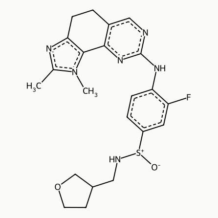 Cc1nc2c(n1C)-c1nc(Nc3ccc([S+]([O-])NCC4CCOC4)cc3F)ncc1CC2